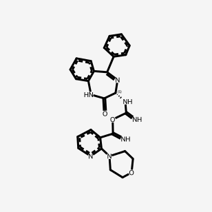 N=C(N[C@H]1N=C(c2ccccc2)c2ccccc2NC1=O)OC(=N)c1cccnc1N1CCOCC1